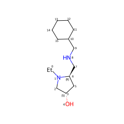 CCN1C[C@@H](O)C[C@@H]1CNCC1CCCCC1